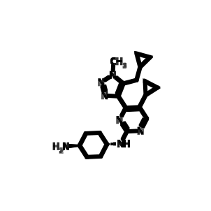 Cn1nnc(-c2nc(N[C@H]3CC[C@H](N)CC3)ncc2C2CC2)c1CC1CC1